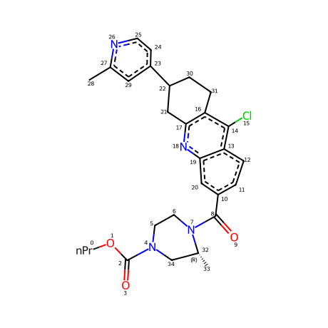 CCCOC(=O)N1CCN(C(=O)c2ccc3c(Cl)c4c(nc3c2)CC(c2ccnc(C)c2)CC4)[C@H](C)C1